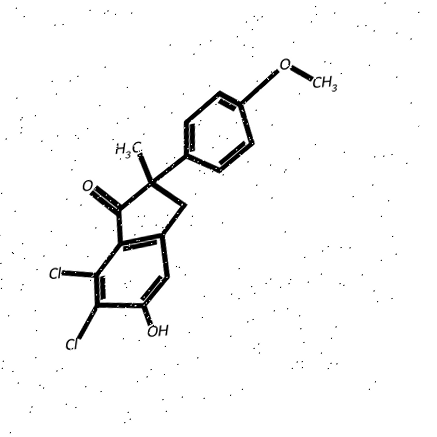 COc1ccc(C2(C)Cc3cc(O)c(Cl)c(Cl)c3C2=O)cc1